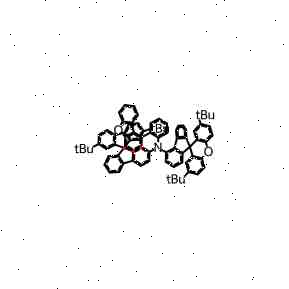 CC(C)(C)c1ccc2c(c1)C1(c3cc(C(C)(C)C)ccc3O2)c2ccccc2-c2c(N(c3ccc4c(c3)C3(c5ccccc5-4)c4cc(C(C)(C)C)ccc4-c4ccc(C(C)(C)C)cc43)c3ccccc3-c3cccc4oc5ccccc5c34)cccc21